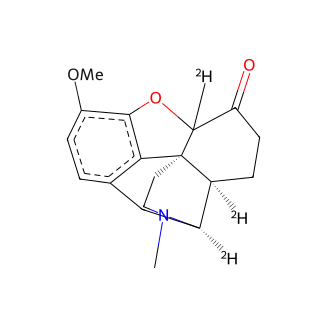 [2H]C12Oc3c(OC)ccc4c3[C@@]13CCN(C)[C@]([2H])(C4)[C@]3([2H])CCC2=O